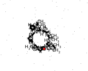 C=CC(C)(C)O[C@H](C)[C@@H]1NC(=O)[C@@H]2CSC(=N2)[C@H](C(C)C)NC(=O)[C@H]([C@@H](C)OC(C)(C)C=C)NC(=O)[C@@H]2CCCN2C(=O)[C@H](C(C)C)NC(=O)[C@@H]2CCCN2C(=O)[C@H](Cc2ccccc2)NC1=O